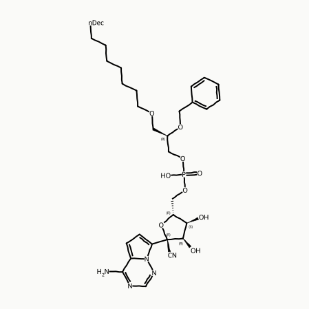 CCCCCCCCCCCCCCCCCOC[C@H](COP(=O)(O)OC[C@H]1O[C@@](C#N)(c2ccc3c(N)ncnn23)[C@H](O)[C@@H]1O)OCc1ccccc1